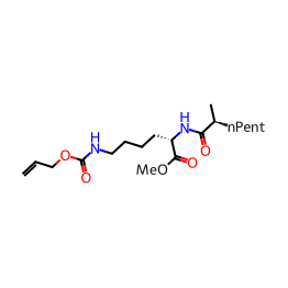 C=CCOC(=O)NCCCC[C@H](NC(=O)[C@@H](C)CCCCC)C(=O)OC